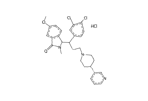 COc1ccc2c(c1)C(=O)N(C)C2C(CCN1CCC(c2cccnc2)CC1)c1ccc(Cl)c(Cl)c1.Cl